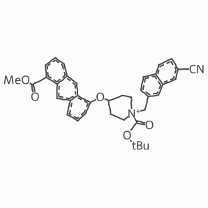 COC(=O)c1cccc2cc3c(OC4CC[N+](Cc5ccc6ccc(C#N)cc6c5)(C(=O)OC(C)(C)C)CC4)cccc3cc12